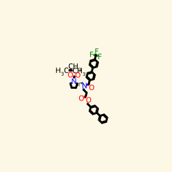 CC(C)(C)OC(=O)N1CCC[C@H]1CN(CCC(=O)OCc1ccc(-c2ccccc2)cc1)C(=O)c1ccc(-c2ccc(C(F)(F)F)cc2)cc1